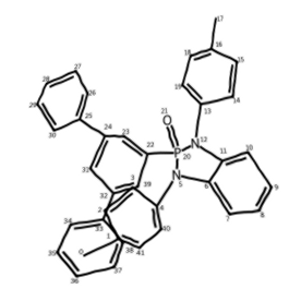 Cc1ccc(N2c3ccccc3N(c3ccc(C)cc3)P2(=O)c2cc(-c3ccccc3)cc(-c3ccccc3)c2)cc1